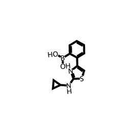 OB(O)c1ccccc1-c1csc(NC2CC2)n1